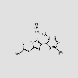 CNC(N)=Nc1nc(-c2nc(N)ccc2C)cs1.Cl.Cl.Cl